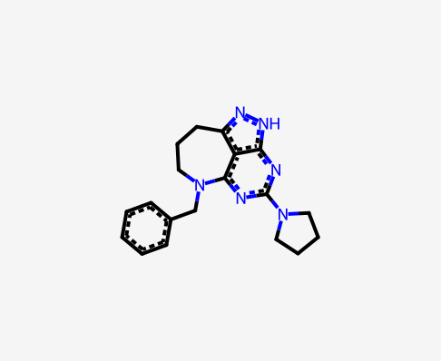 c1ccc(CN2CCCc3n[nH]c4nc(N5CCCC5)nc2c34)cc1